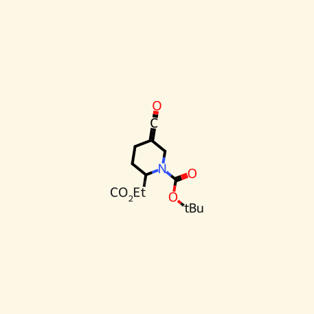 CCOC(=O)C1CCC(=C=O)CN1C(=O)OC(C)(C)C